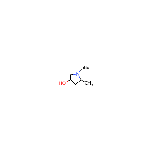 CCCCN1CC(O)CC1C